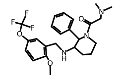 COc1ccc(OC(F)(F)F)cc1CNC1CCCN(C(=O)CN(C)C)C1c1ccccc1